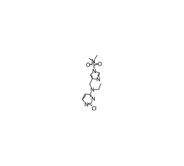 CCN(Cc1cn(S(=O)(=O)N(C)C)cn1)c1ccnc(Cl)n1